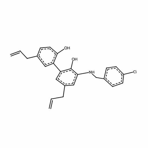 C=CCc1ccc(O)c(-c2cc(CC=C)cc(NCc3ccc(Cl)cc3)c2O)c1